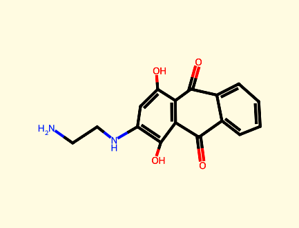 NCCNc1cc(O)c2c(c1O)C(=O)c1ccccc1C2=O